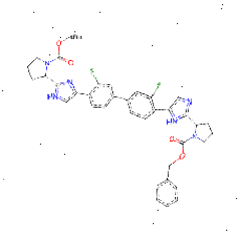 CC(C)(C)OC(=O)N1CCC[C@H]1c1nc(-c2ccc(-c3ccc(-c4cnc([C@@H]5CCCN5C(=O)OCc5ccccc5)[nH]4)c(F)c3)cc2F)c[nH]1